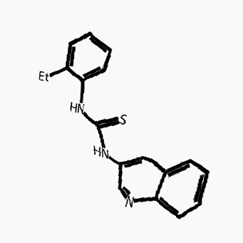 CCc1ccccc1NC(=S)Nc1cnc2ccccc2c1